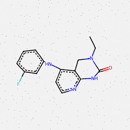 CCN1Cc2c(Nc3cccc(F)c3)ccnc2NC1=O